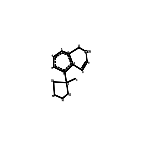 CC1(c2cccc3c2C=COC3)CCCC1